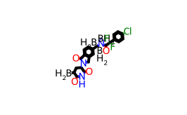 BC1CC(N2Cc3cc(C(B)(B)N(B)C(=O)C(F)(F)c4ccc(Cl)cc4)ccc3C2=O)C(=O)NC1=O